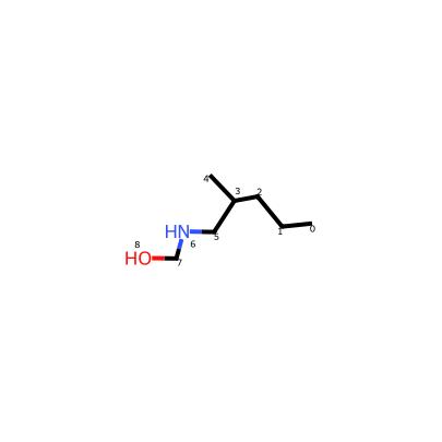 CCCC(C)CNCO